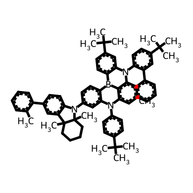 Cc1cc2c3c(c1)N(c1ccc(C(C)(C)C)cc1-c1ccccc1)c1cc(C(C)(C)C)ccc1B3c1ccc(N3c4ccc(-c5ccccc5C)cc4C4(C)CCCCC34C)cc1N2c1ccc(C(C)(C)C)cc1